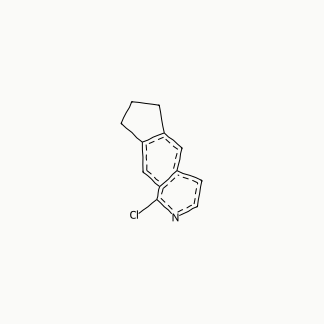 Clc1nccc2cc3c(cc12)CCC3